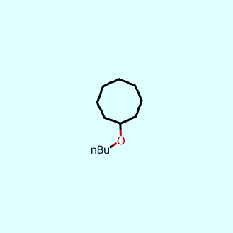 CC[CH]COC1CCCCCCC1